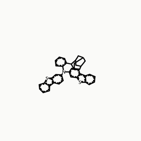 c1ccc(N(c2ccc3c(c2)sc2ccccc23)c2ccc3c(c2)sc2ccccc23)c(C2C3CC4CC(C3)CC2C4)c1